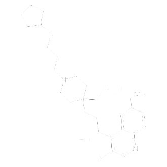 COc1ccc2ncc(Cl)c([C@H](O)CCC3(CC(=O)O)CCN(CCCSC4CCCC4)CC3)c2c1